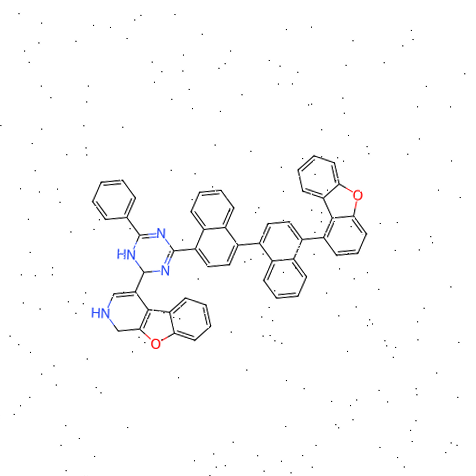 C1=C(C2N=C(c3ccc(-c4ccc(-c5cccc6oc7ccccc7c56)c5ccccc45)c4ccccc34)N=C(c3ccccc3)N2)c2c(oc3ccccc23)CN1